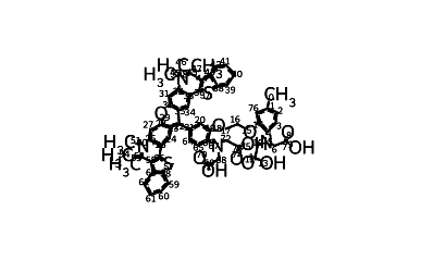 Cc1ccc(N(CC(=O)O)CC(=O)O)c(OCCOc2cc(C3=c4cc5c(cc4Oc4cc6c(cc43)-c3sc4ccccc4c3C(C)(C)N6C)=[N+](C)C(C)(C)c3c-5sc4ccccc34)ccc2N(CC(=O)O)CC(=O)O)c1